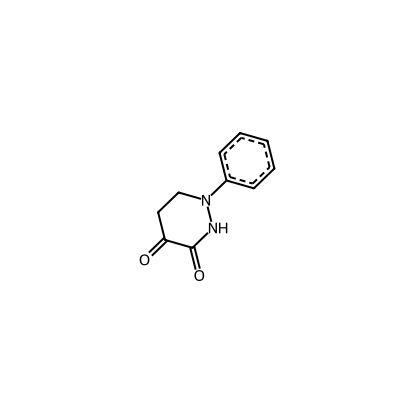 O=C1CCN(c2ccccc2)NC1=O